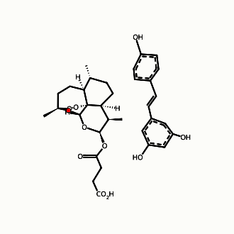 C[C@H]1[C@@H](OC(=O)CCC(=O)O)O[C@@H]2O[C@@]3(C)CC[C@H]4[C@H](C)CC[C@@H]1[C@@]24OO3.Oc1ccc(/C=C/c2cc(O)cc(O)c2)cc1